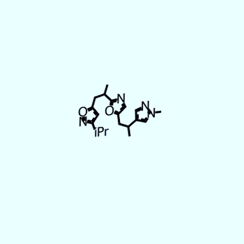 CC(C)c1cc(CC(C)c2ncc(CC(C)c3cnn(C)c3)o2)on1